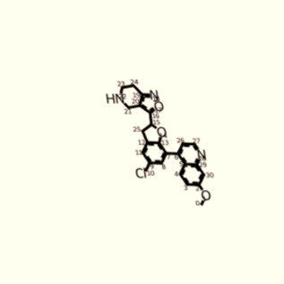 COc1ccc2c(-c3cc(Cl)cc4c3OC(c3onc5c3CNCC5)C4)ccnc2c1